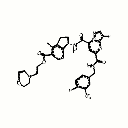 Cc1c(C(=O)OCCN2CCOCC2)ccc2c1CC[C@@H]2NC(=O)c1cc(C(=O)NCc2ccc(F)c(C(F)(F)F)c2)nc2c(F)cnn12